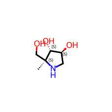 C[C@@]1(CO)NC[C@H](O)[C@H]1O